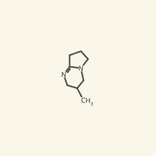 CC1CN=C2CCCN2C1